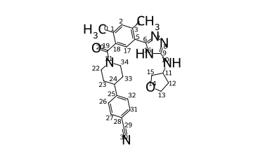 Cc1cc(C)c(-c2nnc(NC3CCOC3)[nH]2)cc1C(=O)N1CCC(c2ccc(C#N)cc2)CC1